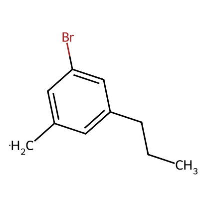 [CH2]c1cc(Br)cc(CCC)c1